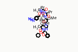 CC[C@H](C)[C@@H]([C@@H](CC(=O)N1CCC[C@H]1[C@H](OC)[C@@H](C)C(=O)N[C@@H](Cc1ccccc1)C(=O)OC1CCCCC1)OC)N(C)C(=O)[C@@H](NC(=O)[C@H](C(C)C)N(C)C(=O)OCc1ccc(N=[N+]=[N-])cc1)C(C)C